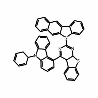 C1=CCC(n2c3ccccc3c3c(C4=NC(n5c6ccccc6c6cc7ccccc7cc65)=NC5Sc6ccccc6C45)cccc32)C=C1